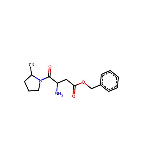 N#CC1CCCN1C(=O)C(N)CC(=O)OCc1ccccc1